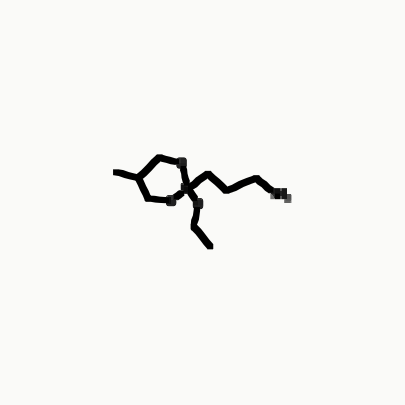 CCO[Si]1(CCCN)OCC(C)CO1